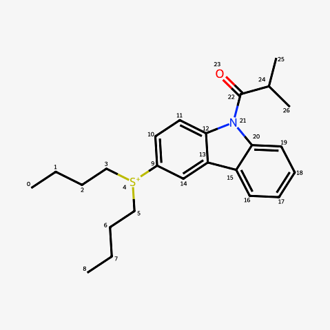 CCCC[S+](CCCC)c1ccc2c(c1)c1ccccc1n2C(=O)C(C)C